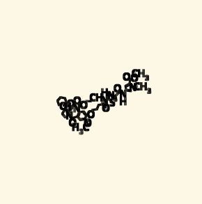 C=CCOC(=O)N1c2cc(OCCCC(=O)Nc3nc(C(=O)Nc4cc(C(=O)OC)n(C)c4)cs3)c(OC)cc2C(=O)N2CCC[C@H]2C1OC1CCCCO1